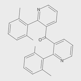 Cc1cccc(C)c1-c1ncccc1C(=O)c1cccnc1-c1c(C)cccc1C